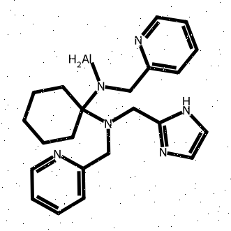 [AlH2][N](Cc1ccccn1)C1(N(Cc2ccccn2)Cc2ncc[nH]2)CCCCC1